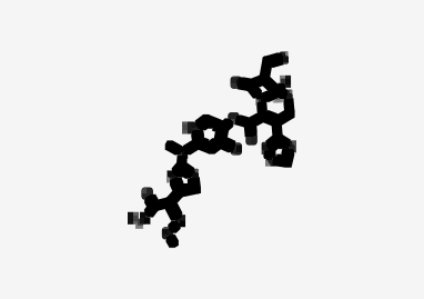 CON=C(C(N)=O)c1csc(N(C)c2cc(=O)c(OC(=O)C3=C(c4ncns4)CS[C@H]4C(C=S)C(=O)N34)c[nH]2)n1